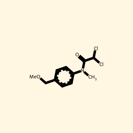 [CH2]OCc1ccc(N(C)C(=O)C(Cl)Cl)cc1